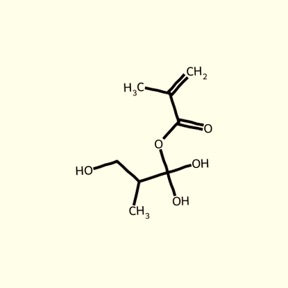 C=C(C)C(=O)OC(O)(O)C(C)CO